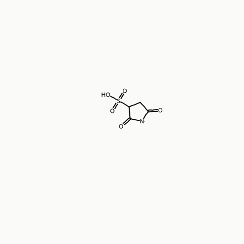 O=C1CC(S(=O)(=O)O)C(=O)[N]1